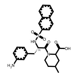 CC1CCN(C(=O)[C@H](Cc2cccc(N)c2)NS(=O)(=O)c2ccc3ccccc3c2)C(C(=O)O)C1